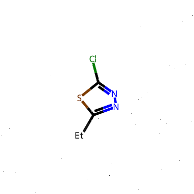 CCc1nnc(Cl)s1